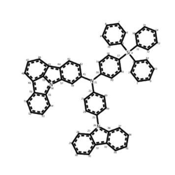 c1ccc([Si](c2ccccc2)(c2ccccc2)c2ccc(N(c3ccc(-n4c5ccccc5c5ccccc54)cc3)c3ccc4c5cccc6c7ccccc7n(c4c3)c65)cc2)cc1